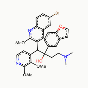 COc1nc2ccc(Br)cc2cc1C(c1ccnc(OC)c1OC)C(O)(CCN(C)C)c1ccc2occc2c1